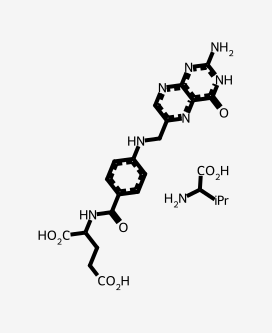 CC(C)C(N)C(=O)O.Nc1nc2ncc(CNc3ccc(C(=O)NC(CCC(=O)O)C(=O)O)cc3)nc2c(=O)[nH]1